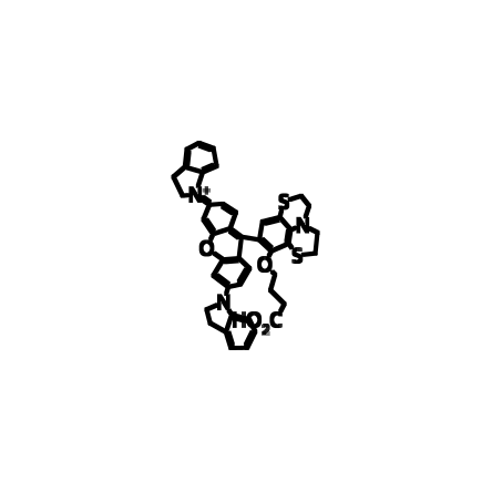 O=C(O)CCCOc1c(-c2c3cc/c(=[N+]4/CCc5ccccc54)cc-3oc3cc(N4CCc5ccccc54)ccc23)cc2c3c1SCCN3CCS2